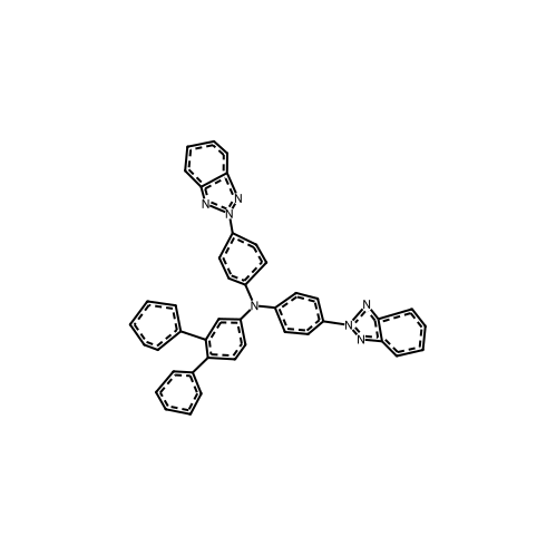 c1ccc(-c2ccc(N(c3ccc(-n4nc5ccccc5n4)cc3)c3ccc(-n4nc5ccccc5n4)cc3)cc2-c2ccccc2)cc1